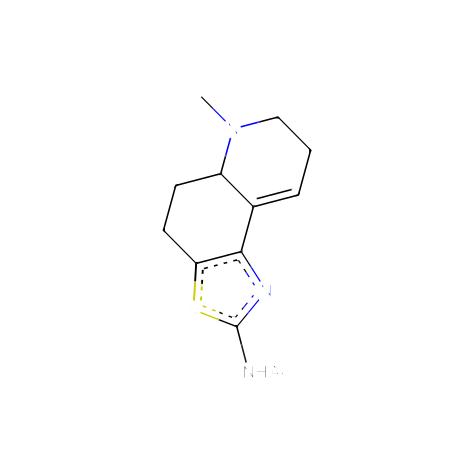 CC(=O)Nc1nc2c(s1)CCC1C2=CCCN1C